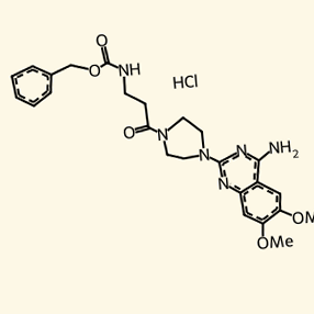 COc1cc2nc(N3CCN(C(=O)CCNC(=O)OCc4ccccc4)CC3)nc(N)c2cc1OC.Cl